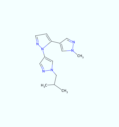 CC(C)Cn1cc(-n2nccc2-c2cnn(C)c2)cn1